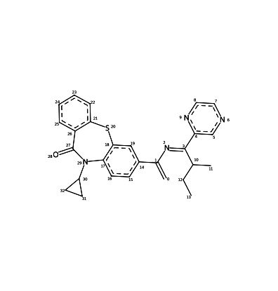 C=C(/N=C(/c1cnccn1)C(C)CC)c1ccc2c(c1)Sc1ccccc1C(=O)N2C1CC1